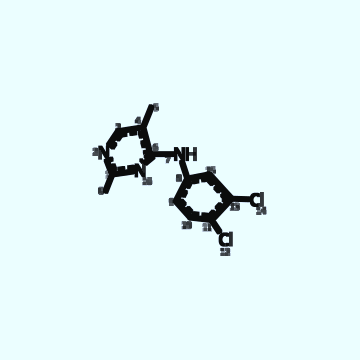 Cc1ncc(C)c(Nc2ccc(Cl)c(Cl)c2)n1